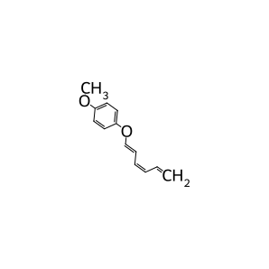 C=C/C=C\C=C\Oc1ccc(OC)cc1